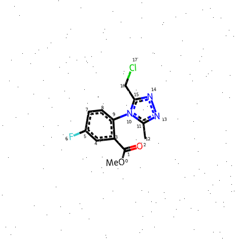 COC(=O)c1cc(F)ccc1-n1c(C)nnc1CCl